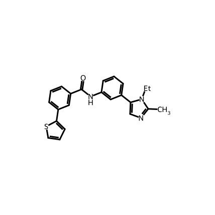 CCn1c(-c2cccc(NC(=O)c3cccc(-c4cccs4)c3)c2)cnc1C